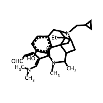 CCC12CCC(C(C)N(C)C(=O)C(/C=C\C=O)=C/N(C)C)C13CCN(CC1CC1)C2Cc1ccc(O)cc13